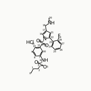 CCCS(=O)(=O)Nc1cccc(S(=O)(=O)n2cc(CNC)cc2-c2ccccc2F)c1.Cl